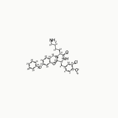 COc1ccc(C[C@@H]2NC(=O)[C@H](CCCCN)N(Cc3ccc(Oc4ccccc4)cc3)C2=O)cc1Cl